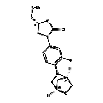 CC(=O)NC[C@H]1CN(c2ccc(N3C[C@H]4C[C@@H]3CO4)c(F)c2)C(=O)O1